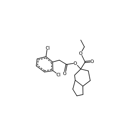 CCOC(=O)C1(OC(=O)Cc2c(Cl)cccc2Cl)CCC2CCCC2C1